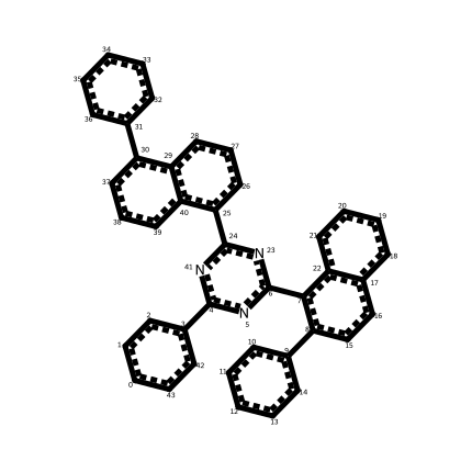 c1ccc(-c2nc(-c3c(-c4ccccc4)ccc4ccccc34)nc(-c3cccc4c(-c5ccccc5)cccc34)n2)cc1